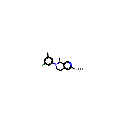 CCOC(=O)c1cc2c(cn1)[C@H](C)N(c1cc(C)cc(F)c1)CC2